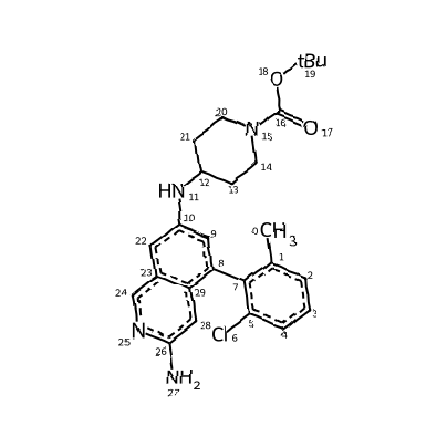 Cc1cccc(Cl)c1-c1cc(NC2CCN(C(=O)OC(C)(C)C)CC2)cc2cnc(N)cc12